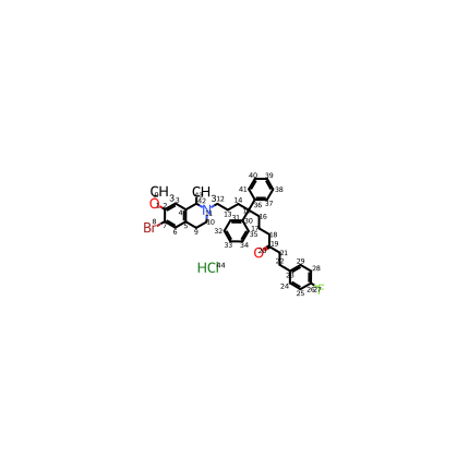 COc1cc2c(cc1Br)CCN(CCCC(CCCC(=O)CCc1ccc(F)cc1)(c1ccccc1)c1ccccc1)C2C.Cl